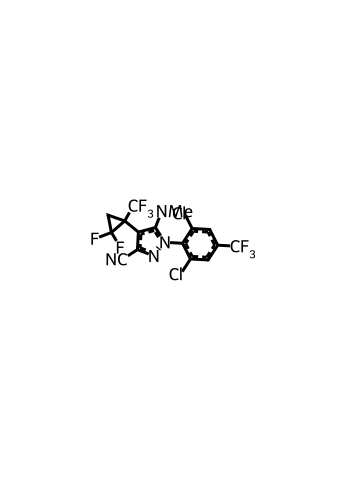 CNc1c(C2(C(F)(F)F)CC2(F)F)c(C#N)nn1-c1c(Cl)cc(C(F)(F)F)cc1Cl